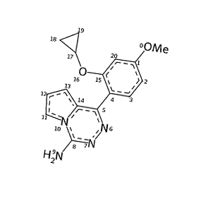 COc1ccc(-c2nnc(N)n3cccc23)c(OC2CC2)c1